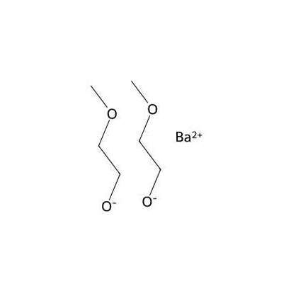 COCC[O-].COCC[O-].[Ba+2]